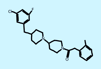 Cc1ccccc1CC(=O)N1CCC(N2CCC(Cc3cc(F)cc(Cl)c3)CC2)CC1